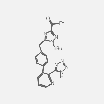 CCCCn1nc(C(=O)CC)nc1Cc1ccc(-c2cccnc2-c2nnn[nH]2)cc1